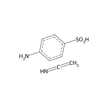 C=C=N.Nc1ccc(S(=O)(=O)O)cc1